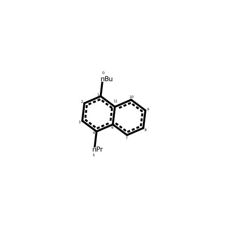 [CH2]CCCc1ccc(CCC)c2ccccc12